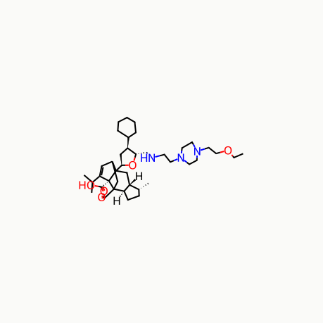 CCOCCN1CCN(CCNC[C@@H]2O[C@@H](C34C[C@@H]5[C@H](C)CC[C@H]5C5(C=O)CC3C=C(C(C)C)[C@]54C(=O)O)C[C@H]2C2CCCCC2)CC1